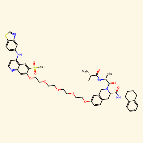 CN[C@@H](C)C(=O)N[C@H](C(=O)N1Cc2cc(OCCOCCOCCOCCOc3cc4nccc(Nc5ccc6scnc6c5)c4cc3S(=O)(=O)C(C)(C)C)ccc2C[C@H]1C(=O)N[C@@H]1CCCc2ccccc21)C(C)(C)C